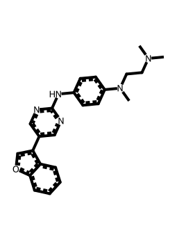 CN(C)CCN(C)c1ccc(Nc2ncc(-c3coc4ccccc34)cn2)cc1